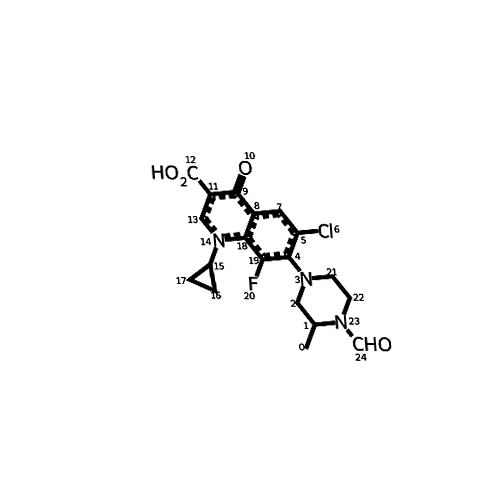 CC1CN(c2c(Cl)cc3c(=O)c(C(=O)O)cn(C4CC4)c3c2F)CCN1C=O